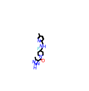 Cc1ccc(CNCC2(F)CCN(C(=O)c3n[nH]nc3C)CC2)nc1